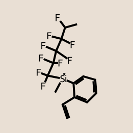 C=Cc1ccccc1[Si](C)(C)C(F)(F)C(F)(F)C(F)(F)C(F)(F)C(C)F